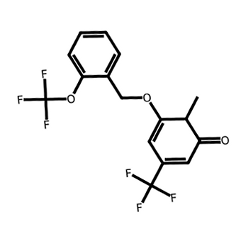 CC1C(=O)C=C(C(F)(F)F)C=C1OCc1ccccc1OC(F)(F)F